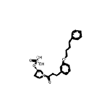 O=C(CCc1cccc(OCCCCc2ccccc2)c1)N1CC[C@@H](OP(=O)(O)O)C1